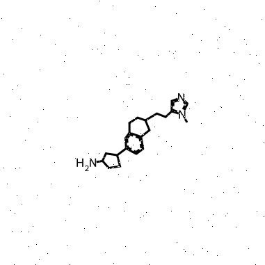 Cn1cncc1CCC1CCc2cc(C3CCC(N)C3)ccc2C1